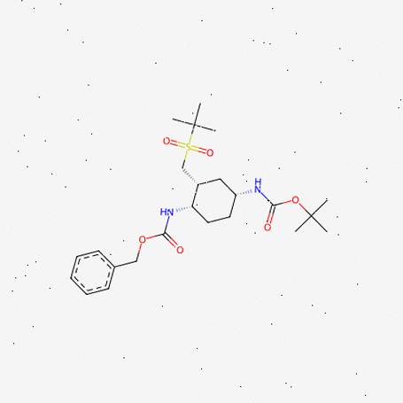 CC(C)(C)OC(=O)N[C@@H]1CC[C@H](NC(=O)OCc2ccccc2)[C@H](CS(=O)(=O)C(C)(C)C)C1